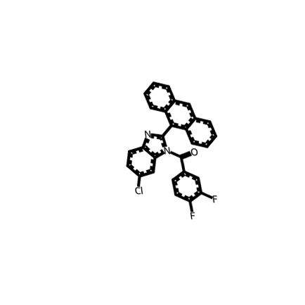 O=C(c1ccc(F)c(F)c1)n1c(-c2c3ccccc3cc3ccccc23)nc2ccc(Cl)cc21